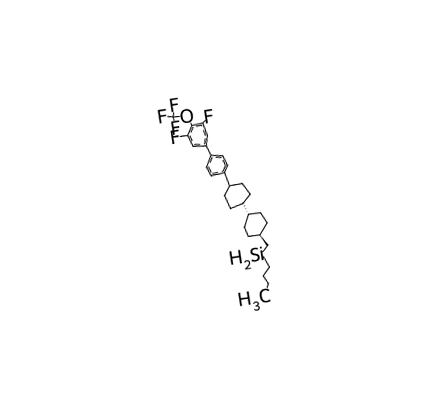 CCCC[SiH2]C[C@H]1CC[C@H](C2CCC(c3ccc(-c4cc(F)c(OC(F)(F)F)c(F)c4)cc3)CC2)CC1